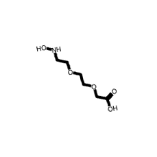 O=C(O)COCCOCCNO